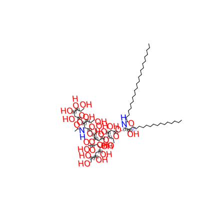 CCCCCCCCCCCCC/C=C/[C@@H](O)[C@H](CO[C@@H]1OC(CO)[C@@H](O[C@@H]2OC(CO)[C@H](O[C@@H]3OC(CO)[C@H](O)[C@H](O[C@@H]4OC(CO)[C@H](O)[C@H](O)C4O)C3NC(C)=O)[C@H](O[C@]3(C(=O)O)CC(O)[C@@H](O)C([C@H](O)[C@H](O)CO)O3)C2O)[C@H](O)C1O)NC(=O)CCCCCCCCCCCCCCCCCCCCCCC